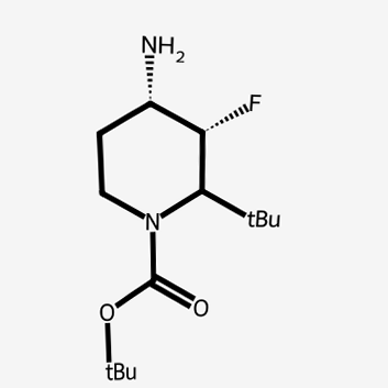 CC(C)(C)OC(=O)N1CC[C@H](N)[C@H](F)C1C(C)(C)C